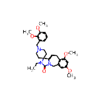 CCN1C(=O)N2Cc3cc(OC)cc(OC)c3CC=C2C12CCN(Cc1cccc(OC)c1OC)CC2